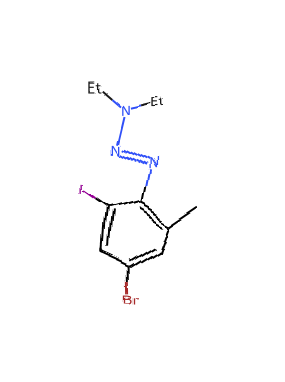 CCN(CC)/N=N/c1c(C)cc(Br)cc1I